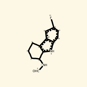 O=CNC1CCCc2c1[nH]c1ccc(F)cc21